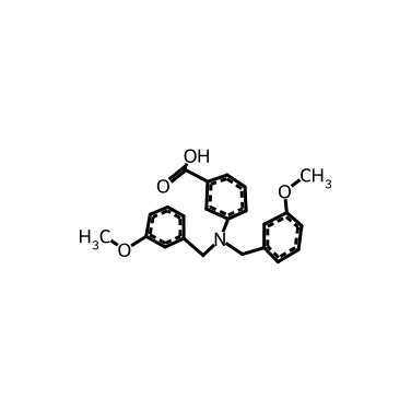 COc1cccc(CN(Cc2cccc(OC)c2)c2cccc(C(=O)O)c2)c1